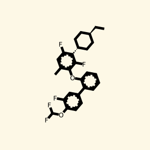 CC[C@H]1CC[C@H](c2c(F)cc(C)c(Oc3ccccc3-c3ccc(OC(F)F)c(F)c3)c2F)CC1